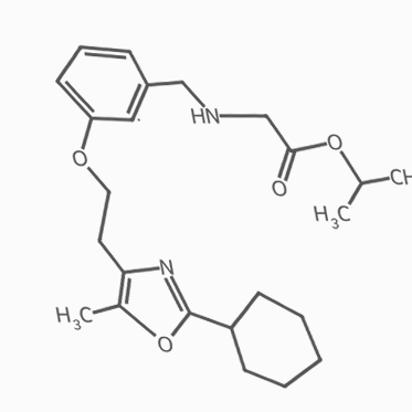 Cc1oc(C2CCCCC2)nc1CCOc1[c]c(CNCC(=O)OC(C)C)ccc1